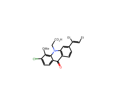 CC/C=C(\CC)c1ccc2c(=O)c3ccc(Cl)c(OC)c3n(CC(=O)O)c2c1